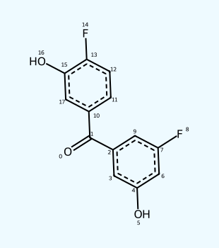 O=C(c1cc(O)cc(F)c1)c1ccc(F)c(O)c1